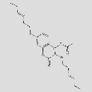 CCC=CCCOc1ccc2c(OC(C)=O)c(OCCC=CCC)c(=O)oc2c1